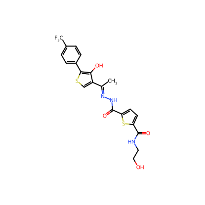 C/C(=N\NC(=O)c1ccc(C(=O)NCCO)s1)c1csc(-c2ccc(C(F)(F)F)cc2)c1O